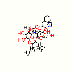 CC[C@H](C)C(OC1OC(C)C(O)C(O)C1O)C(CC(C)C)O[C@@H]1O[C@@H](CO)C(O)C(O[C@@H](CC2CCCCC2)C(=O)N2CCC2)C1NC(C)=O